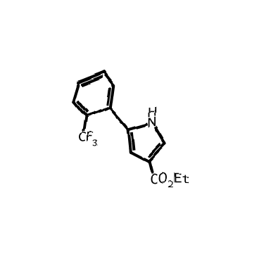 CCOC(=O)c1c[nH]c(-c2ccccc2C(F)(F)F)c1